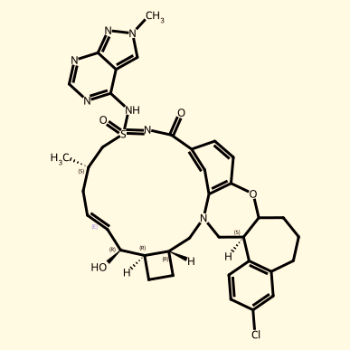 C[C@H]1C/C=C/[C@H](O)[C@@H]2CC[C@H]2CN2C[C@@H]3c4ccc(Cl)cc4CCCC3Oc3ccc(cc32)C(=O)N=S(=O)(Nc2ncnc3nn(C)cc23)C1